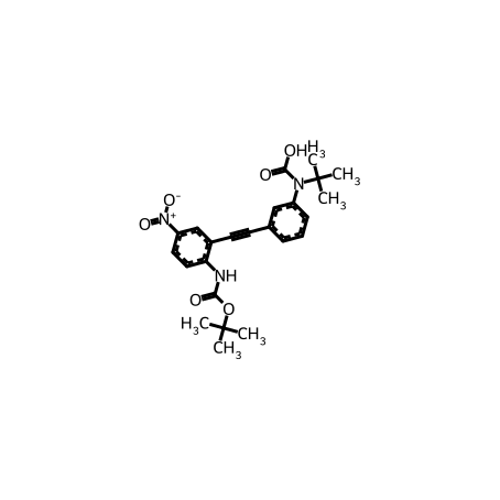 CC(C)(C)OC(=O)Nc1ccc([N+](=O)[O-])cc1C#Cc1cccc(N(C(=O)O)C(C)(C)C)c1